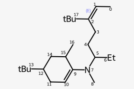 C/C=C(\CCC(CC)N(C)C1=CCC(C(C)(C)C)CC1C)C(C)(C)C